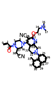 C=CC(=O)N1CCN(c2c(C#N)c(OCCN(C)C)nc3c2CCN(c2cccc4cccc(C)c24)C3)CC1CC#N